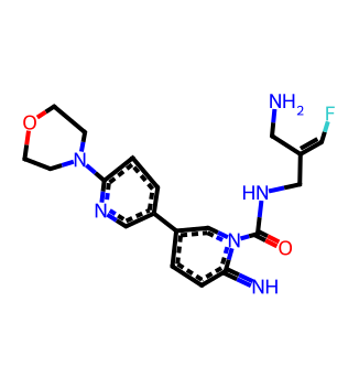 N=c1ccc(-c2ccc(N3CCOCC3)nc2)cn1C(=O)NC/C(=C/F)CN